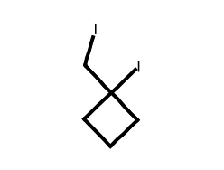 ICC1(I)CCC1